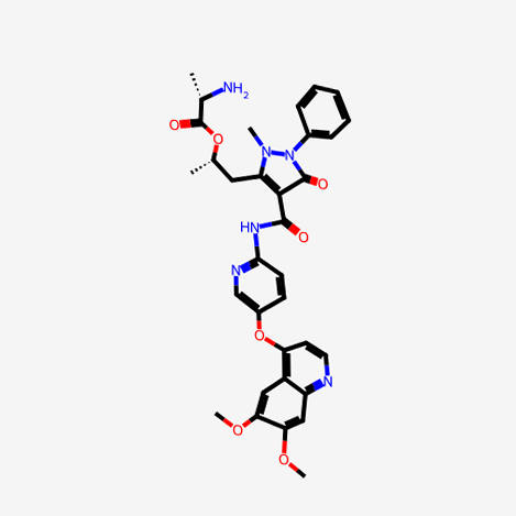 COc1cc2nccc(Oc3ccc(NC(=O)c4c(C[C@H](C)OC(=O)[C@H](C)N)n(C)n(-c5ccccc5)c4=O)nc3)c2cc1OC